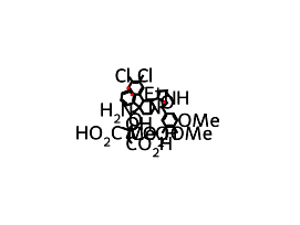 CCC1(C2CCNC2)C(c2ccc(Cl)c(Cl)c2)C(C(N)=O)(c2ccccc2)CCN1C(=O)c1cc(OC)c(OC)c(OC)c1.O=C(O)CC(O)(CC(=O)O)C(=O)O